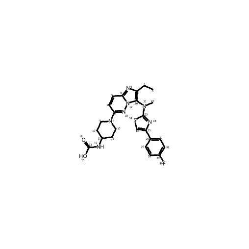 CCc1nc2ccc(N3CCC(NC(=O)O)CC3)nn2c1N(C)c1nc(-c2ccc(F)cc2)cs1